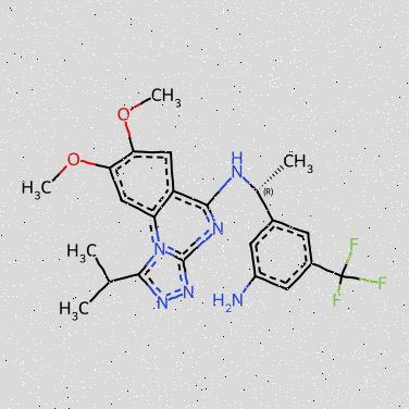 COc1cc2c(N[C@H](C)c3cc(N)cc(C(F)(F)F)c3)nc3nnc(C(C)C)n3c2cc1OC